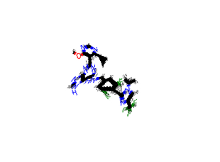 COc1ncnc(C2CC2)c1-c1nc(NCc2cc(F)c(-c3nc(C(F)(F)F)cn3C(C)C)c(F)c2)c2[nH]cnc2n1